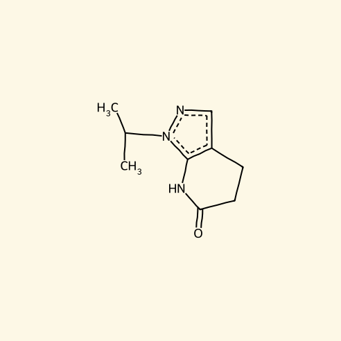 CC(C)n1ncc2c1NC(=O)CC2